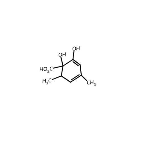 CC1=CC(C)C(O)(C(=O)O)C(O)=C1